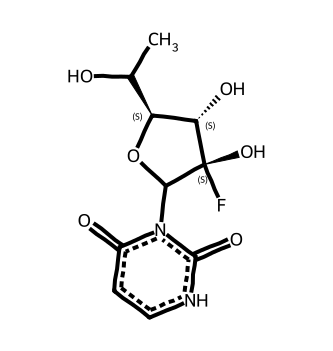 CC(O)[C@@H]1OC(n2c(=O)cc[nH]c2=O)[C@@](O)(F)[C@H]1O